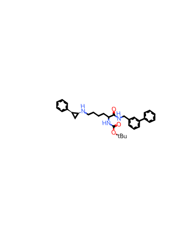 CC(C)(C)OC(=O)NC(CCCCN[C@@H]1C[C@H]1c1ccccc1)C(=O)NCc1cccc(-c2ccccc2)c1